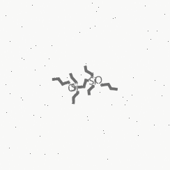 CCCCO[Si](CCC)(CCC)CC[Si](CCC)(CCC)OCCCC